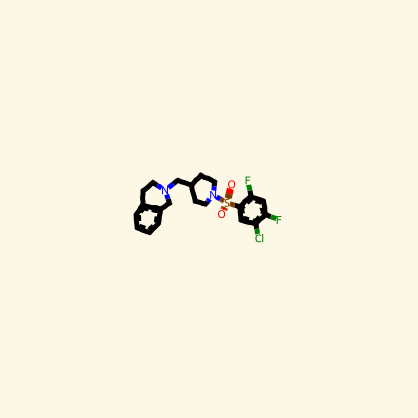 O=S(=O)(c1cc(Cl)c(F)cc1F)N1CCC(CN2CCc3ccccc3C2)CC1